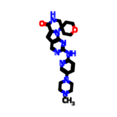 CN1CCN(c2ccc(Nc3ncc4cc5n(c4n3)C3(CCOCC3)CNC5=O)nc2)CC1